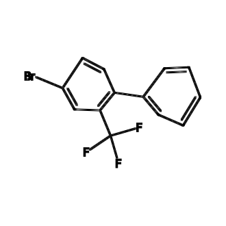 FC(F)(F)c1cc(Br)ccc1-c1ccccc1